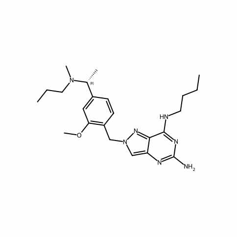 CCCCNc1nc(N)nc2cn(Cc3ccc([C@@H](C)N(C)CCC)cc3OC)nc12